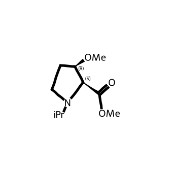 COC(=O)[C@@H]1[C@H](OC)CCN1C(C)C